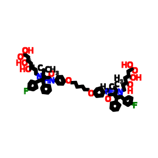 CC(C)c1c(C(=O)Nc2ccc(OCCCCCCOc3ccc(NC(=O)c4c(-c5ccccc5)c(-c5ccc(F)cc5)n(CC[C@@H](O)C[C@@H](O)CC(=O)O)c4C(C)C)cc3)cc2)c(-c2ccccc2)c(-c2ccc(F)cc2)n1CC[C@@H](O)C[C@@H](O)CC(=O)O